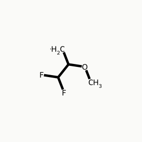 [CH2]C(OC)C(F)F